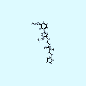 COc1cccc(-c2nc(CCCC(=O)NCCN3CCCC3)c(C)o2)c1